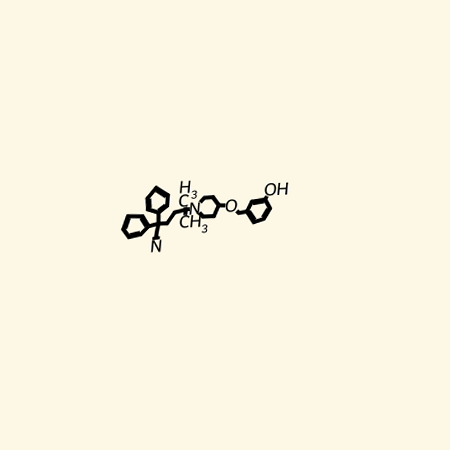 CC(C)(CCC(C#N)(c1ccccc1)c1ccccc1)N1CCC(OCc2cccc(O)c2)CC1